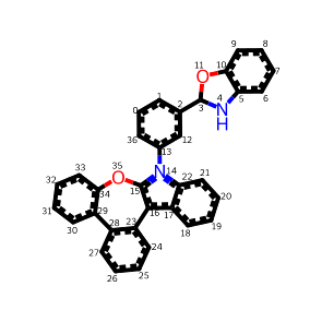 c1cc(C2Nc3ccccc3O2)cc(-n2c3c(c4ccccc42)-c2ccccc2-c2ccccc2O3)c1